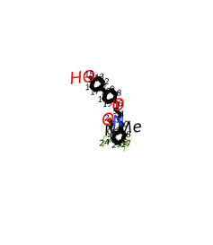 CNC(=O)N(CCOc1ccc(-c2ccc(O)cc2)cc1)Cc1cc(F)cc(F)c1